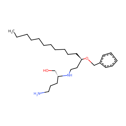 CCCCCCCCCCC[C@H](CCN[C@@H](CO)CCCN)OCc1ccccc1